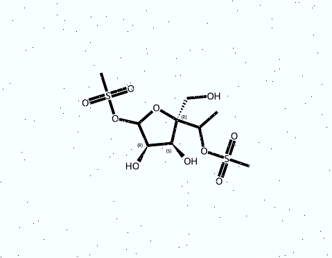 CC(OS(C)(=O)=O)[C@]1(CO)OC(OS(C)(=O)=O)[C@H](O)[C@@H]1O